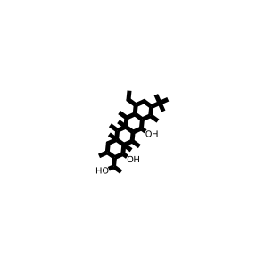 CCC1CC(C(C)(C)C)C(C)C2C(O)C3C(C)C4(C)C(O)C(C(C)O)C(C)CC4(C)C(C)C3(C)C(C)C12